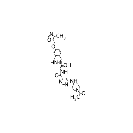 CC(=O)N1CCC(Nc2cc(C(=O)NC[C@@H](O)[C@@H]3Cc4ccc(OCc5ocnc5C)cc4CN3)ncn2)CC1